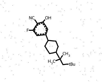 CC(C)(C)CC(C)(C)C1CCC(c2cc(O)c(C#N)c(F)c2)CC1